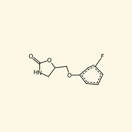 O=C1NCC(COc2cccc(F)c2)O1